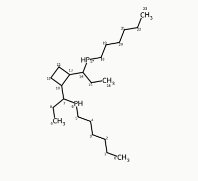 CCCCCCPC(CC)C1CCC1C(CC)PCCCCCC